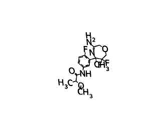 COC(C)C(=O)Nc1ccc(F)c(C2(C)N=C(N)COCC2(F)F)c1